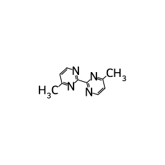 Cc1ccnc(-c2nccc(C)n2)n1